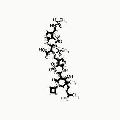 CC(C)CCC1(C)CN(C2CCC2)C(=O)C(C2=NS(=O)(=O)c3c(CN(C(C(=O)O)C4=NS(=O)(=O)c5c(CNS(C)(=O)=O)csc5N4)S(C)(=O)=O)csc3N2)=C1O